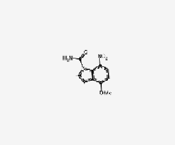 COc1ccc([N+](=O)[O-])c2c1c[c]n2C(N)=O